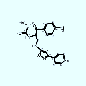 CC(C)(C)OC(=O)NC(CNc1cc(-c2ccncc2)no1)C(=O)c1ccc(Cl)cc1